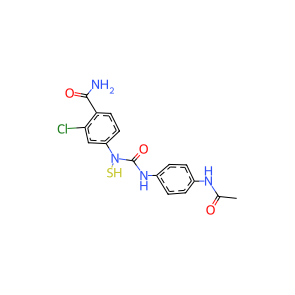 CC(=O)Nc1ccc(NC(=O)N(S)c2ccc(C(N)=O)c(Cl)c2)cc1